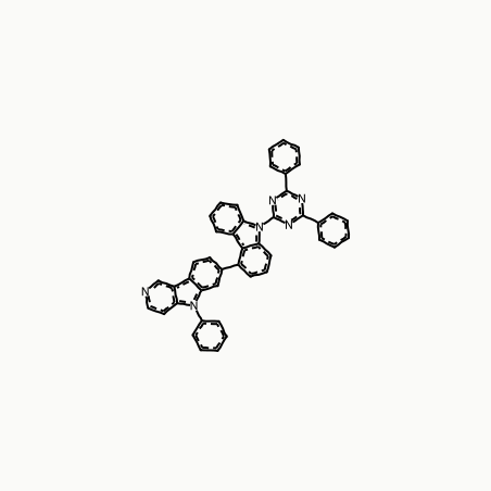 c1ccc(-c2nc(-c3ccccc3)nc(-n3c4ccccc4c4c(-c5ccc6c7cnccc7n(-c7ccccc7)c6c5)cccc43)n2)cc1